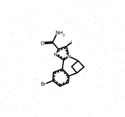 NC(=O)c1nc2n(c1I)C1CC(C1)c1ccc(Br)cc1-2